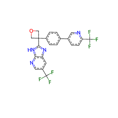 FC(F)(F)c1cnc2[nH]c(C3(c4ccc(-c5ccc(C(F)(F)F)nc5)cc4)COC3)nc2c1